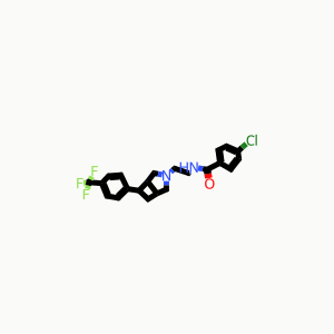 O=C(NCCN1CC2CC(c3ccc(C(F)(F)F)cc3)C2C1)c1ccc(Cl)cc1